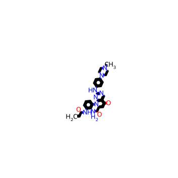 C=CC(=O)Nc1cccc(-n2c(C(N)=O)cc(=O)c3cnc(Nc4ccc(N5CCN(C)CC5)cc4)nc32)c1